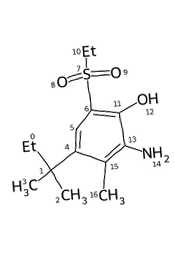 CCC(C)(C)c1cc(S(=O)(=O)CC)c(O)c(N)c1C